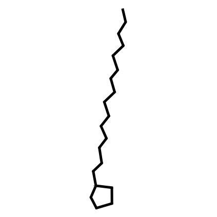 CCCCCCCCCCCCCCC[C]1CCCC1